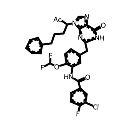 CC(=O)C(CCCc1ccccc1)n1cnc2c(=O)[nH]c(Cc3ccc(OC(F)F)c(NC(=O)c4ccc(F)c(Cl)c4)c3)nc21